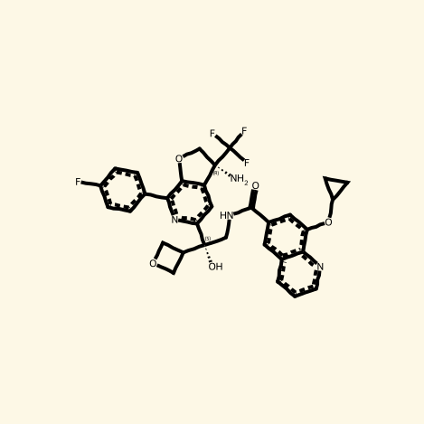 N[C@@]1(C(F)(F)F)COc2c1cc([C@@](O)(CNC(=O)c1cc(OC3CC3)c3ncccc3c1)C1COC1)nc2-c1ccc(F)cc1